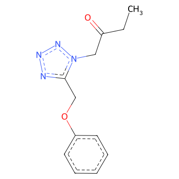 CCC(=O)Cn1nnnc1COc1ccccc1